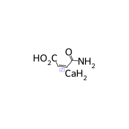 NC(=O)/C=C\C(=O)O.[CaH2]